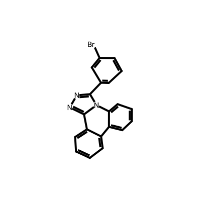 Brc1cccc(-c2nnc3c4ccccc4c4ccccc4n23)c1